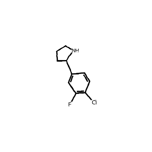 Fc1cc(C2CCCN2)ccc1Cl